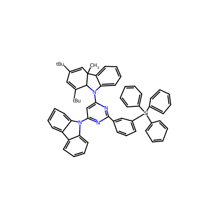 CC(C)(C)C1=CC2(C)c3ccccc3N(c3cc(-n4c5ccccc5c5ccccc54)nc(-c4cccc([Si](c5ccccc5)(c5ccccc5)c5ccccc5)c4)n3)C2C(C(C)(C)C)=C1